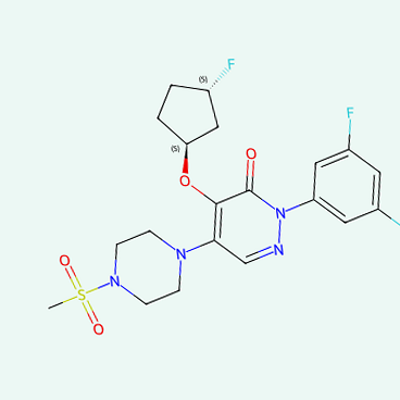 CS(=O)(=O)N1CCN(c2cnn(-c3cc(F)cc(F)c3)c(=O)c2O[C@H]2CC[C@H](F)C2)CC1